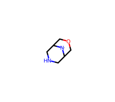 C1NCC2COCC1[N]2